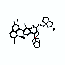 C#Cc1c(F)ccc2cc(O)cc(-c3ncc4c(N5CC6CCC(C5)N6CCF)nc(OC[C@@]56CCCN5C[C@H](F)C6)nc4c3F)c12